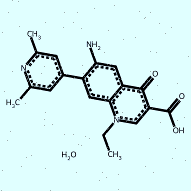 CCn1cc(C(=O)O)c(=O)c2cc(N)c(-c3cc(C)nc(C)c3)cc21.O